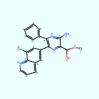 CCOC(O)c1nc(-c2cc(Cl)c3ncccc3c2)c(-c2ccccc2)nc1N